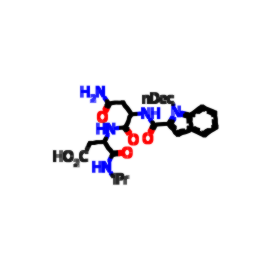 CCCCCCCCCCn1c(C(=O)NC(CC(N)=O)C(=O)NC(CC(=O)O)C(=O)NC(C)C)cc2ccccc21